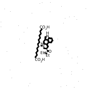 CCN(CC)C(=O)[C@@H]1C=C2c3cccc4[nH]cc(c34)C[C@H]2N(C)C1.O=C(O)CCCCCCCCCCCCCCC(=O)O